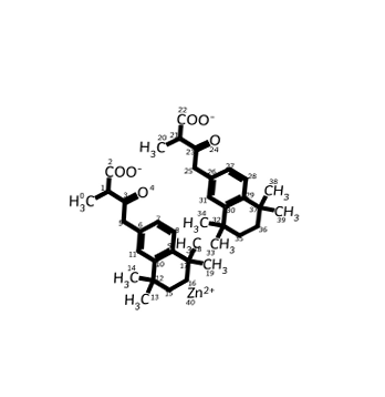 CC(C(=O)[O-])C(=O)Cc1ccc2c(c1)C(C)(C)CCC2(C)C.CC(C(=O)[O-])C(=O)Cc1ccc2c(c1)C(C)(C)CCC2(C)C.[Zn+2]